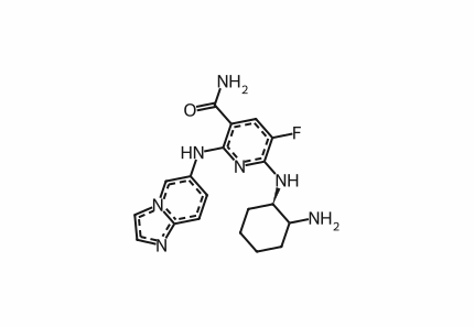 NC(=O)c1cc(F)c(N[C@@H]2CCCCC2N)nc1Nc1ccc2nccn2c1